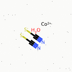 N#C[S-].N#C[S-].O.[Co+2]